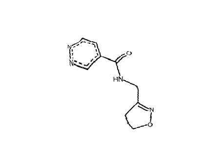 O=C(NCC1=NOCC1)c1ccnnc1